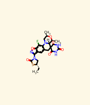 CC[C@H]1CN(c2noc3c(F)c4c(cc23)CC2(C(=O)NC(=O)NC2=O)[C@H]2[C@H](C)O[C@H](C)CN42)C(=O)S1